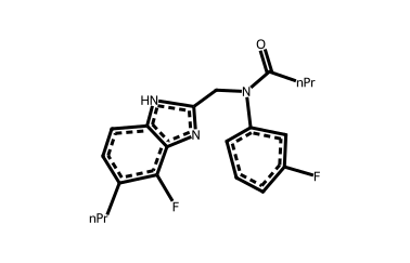 CCCC(=O)N(Cc1nc2c(F)c(CCC)ccc2[nH]1)c1cccc(F)c1